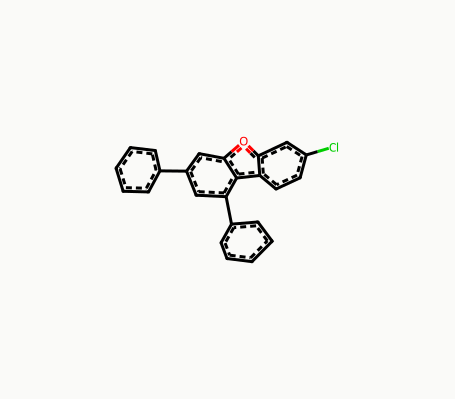 Clc1ccc2c(c1)oc1cc(-c3ccccc3)cc(-c3ccccc3)c12